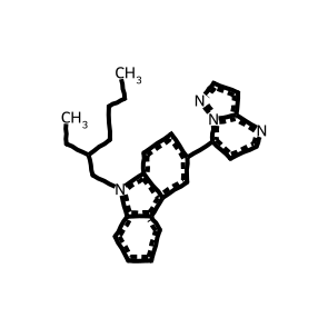 CCCCC(CC)Cn1c2ccccc2c2cc(-c3ccnc4ccnn34)ccc21